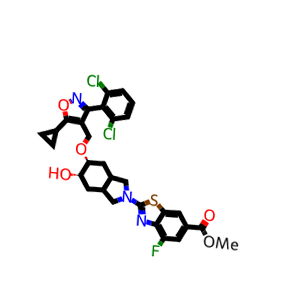 COC(=O)c1cc(F)c2nc(N3CC4C[C@H](O)[C@H](OCc5c(-c6c(Cl)cccc6Cl)noc5C5CC5)CC4C3)sc2c1